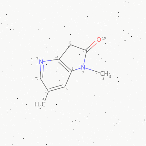 Cc1cnc2c(c1)N(C)C(=O)C2